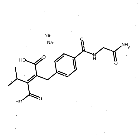 CC(C)C(C(=O)O)=C(Cc1ccc(C(=O)NCC(N)=O)cc1)C(=O)O.[Na].[Na]